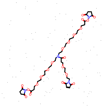 O=C(CCOCCOCCOCCOCCN(CCOCCOCCOCCOCCC(=O)ON1C(=O)CCC1=O)C(=O)CCOCCOCCN1C(=O)C=CC1=O)ON1C(=O)CCC1=O